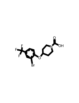 O=C(O)N1CCC(Oc2ccc(C(F)(F)F)cc2Br)CC1